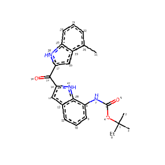 CCC(C)(C)OC(=O)Nc1cccc2cc(C(=O)c3cc4c(C)cccc4[nH]3)[nH]c12